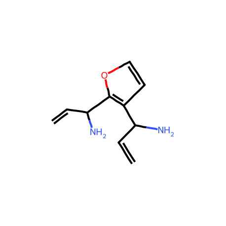 C=CC(N)c1ccoc1C(N)C=C